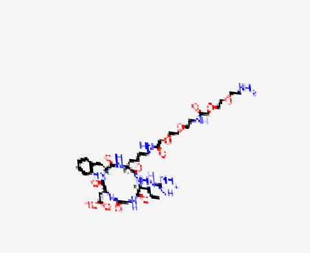 CCC(NC(=N)N)[C@@H]1NC(=O)[C@H](CCCCNC(=O)COCCOCCNC(=O)COCCOCCN)NC(=O)[C@H](Cc2ccccc2)NC(=O)[C@H](CC(=O)O)NC(=O)CNC1=O